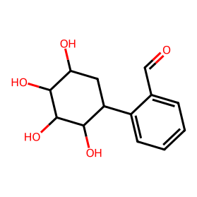 O=Cc1ccccc1C1CC(O)C(O)C(O)C1O